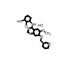 COc1cc2c(Nc3cccc(O)c3Cl)ncnc2cc1OCc1cccnc1.Cl